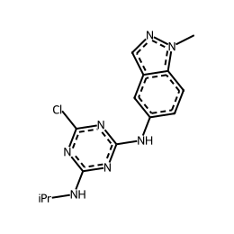 CC(C)Nc1nc(Cl)nc(Nc2ccc3c(cnn3C)c2)n1